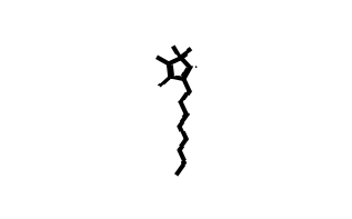 CCCCCCCCC1=[C]C(C)(C)C(C)=C1C